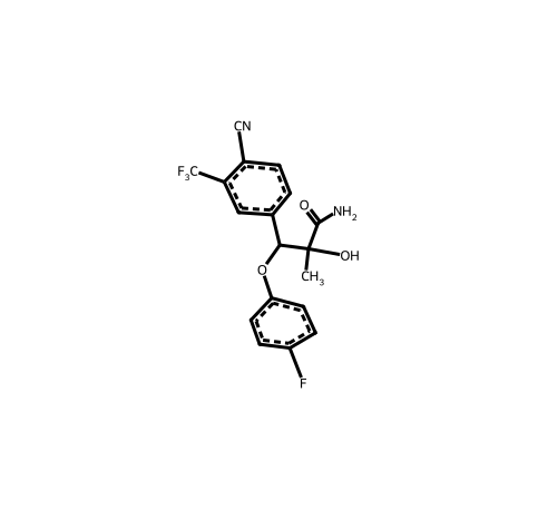 CC(O)(C(N)=O)C(Oc1ccc(F)cc1)c1ccc(C#N)c(C(F)(F)F)c1